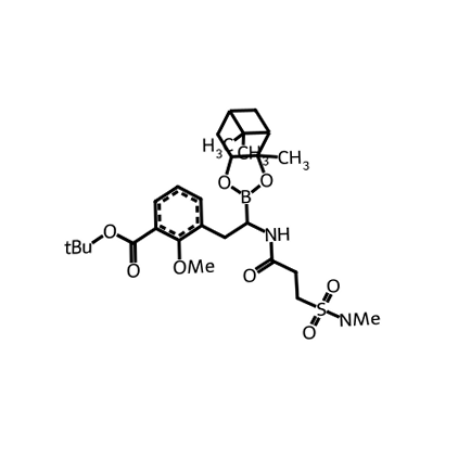 CNS(=O)(=O)CCC(=O)NC(Cc1cccc(C(=O)OC(C)(C)C)c1OC)B1OC2CC3CC(C3(C)C)C2(C)O1